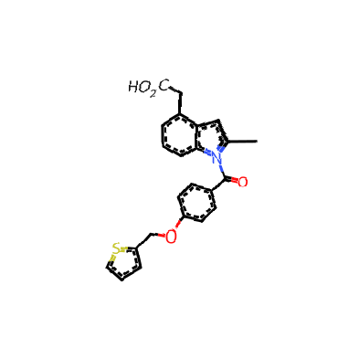 Cc1cc2c(CC(=O)O)cccc2n1C(=O)c1ccc(OCc2cccs2)cc1